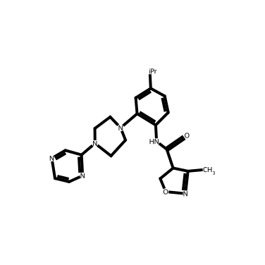 CC1=NOCC1C(=O)Nc1ccc(C(C)C)cc1N1CCN(c2cnccn2)CC1